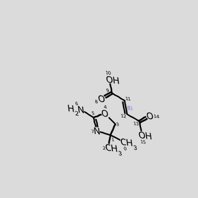 CC1(C)COC(N)=N1.O=C(O)/C=C/C(=O)O